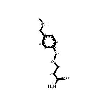 CNCc1ccc(SSCCC(N)=O)cc1